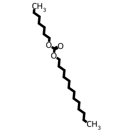 CCCCCCCCCCCCCOC(=O)OCCCCCCC